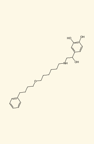 Oc1ccc(C(O)CNCCCCCCOCCCCc2ccccc2)cc1O